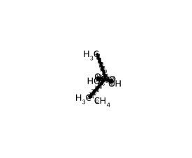 C.CCCCCCCCCCCCS(CCCCCCCCCCCC)(CCC(=O)O)CCC(=O)O